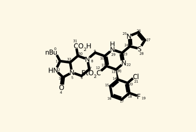 CCCCC1NC(=O)N2CCN(CC3=C(C(=O)OCC)[C@H](c4cccc(F)c4Cl)N=C(c4nccs4)N3)C(C(=O)O)C12